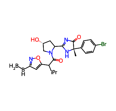 BBc1cc(C(C(=O)N2C[C@H](O)CC2C2=NC(=O)[C@](C)(c3ccc(Br)cc3)N2)C(C)C)on1